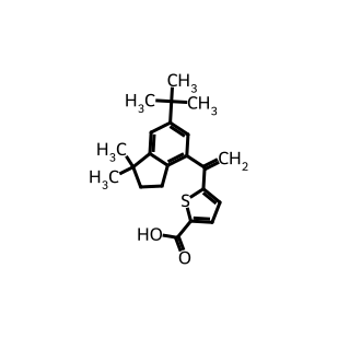 C=C(c1ccc(C(=O)O)s1)c1cc(C(C)(C)C)cc2c1CCC2(C)C